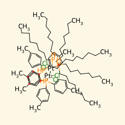 CCCCCCCC[PH](CCCCCCCC)(CCCCCCCC)[Pt]([Cl])([Cl])([PH](CCCCCCCC)(CCCCCCCC)CCCCCCCC)[Pt]([Cl])([Cl])([PH](c1ccc(C)cc1)(c1ccc(C)cc1)c1ccc(C)cc1)[PH](c1ccc(C)cc1)(c1ccc(C)cc1)c1ccc(C)cc1